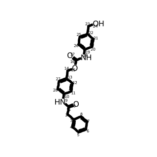 O=C(Cc1ccccc1)Nc1ccc(COC(=O)Nc2ccc(CO)cc2)cc1